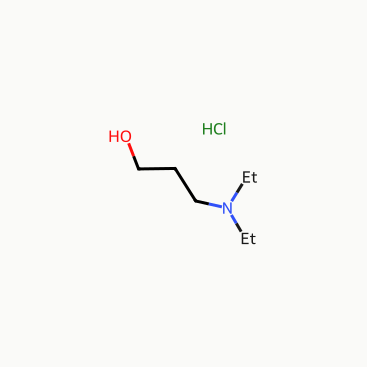 CCN(CC)CCCO.Cl